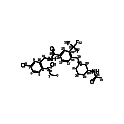 CC[S+]([O-])c1ccc(Cl)cc1CNC(=O)c1ccc(CN2CCCC(NC(C)=O)C2)c(C(F)(F)F)c1